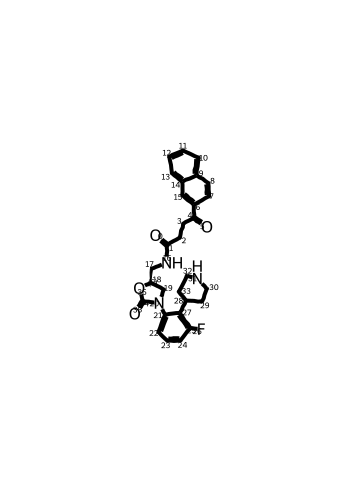 O=C(CCC(=O)c1ccc2ccccc2c1)NC[C@H]1CN(c2cccc(F)c2C2CCNCC2)C(=O)O1